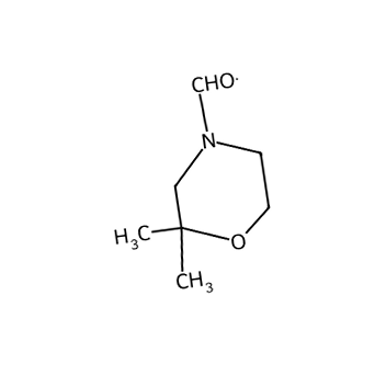 CC1(C)CN([C]=O)CCO1